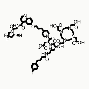 COC(=O)C[C@H](NC(=O)[C@H](CCCNC(=O)CCCc1ccc(I)cc1)NC(=O)CN1CCN(CC(=O)O)CCN(CC(=O)O)CCN(CC(=O)O)CC1)C(=O)N1CCC(CCCOc2ccc3nccc(C(=O)NCC(=O)N4CC(F)(F)C[C@@H]4C#N)c3c2)CC1